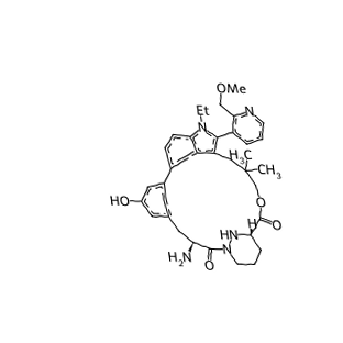 CCn1c(-c2cccnc2COC)c2c3cc(ccc31)-c1cc(O)cc(c1)C[C@H](N)C(=O)N1CCC[C@H](N1)C(=O)OCC(C)(C)C2